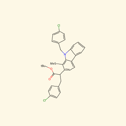 CSc1c(C(Cc2ccc(Cl)cc2)C(=O)OC(C)(C)C)ccc2c3ccccc3n(Cc3ccc(Cl)cc3)c12